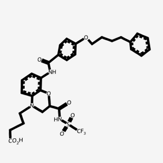 O=C(O)CCCN1CC(C(=O)NS(=O)(=O)C(F)(F)F)Oc2c(NC(=O)c3ccc(OCCCCc4ccccc4)cc3)cccc21